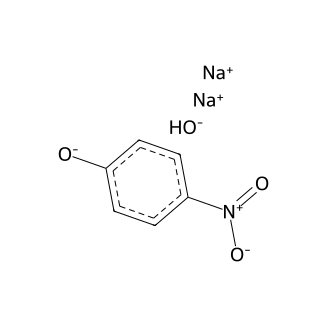 O=[N+]([O-])c1ccc([O-])cc1.[Na+].[Na+].[OH-]